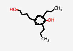 CCCc1cc(CCCCO)cc(CCC)c1O